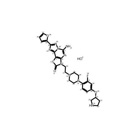 Cl.Nc1nc2c(sc(=O)n2CCN2CCN(c3ccc(O[C@H]4CCNC4)cc3F)CC2)c2nc(-c3ccco3)nn12